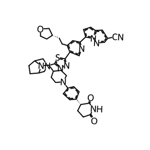 N#Cc1cnn2c(-c3cc(CC[C@@H]4CCOC4)c(-c4nnc(N5CC6CCC(C5)N6CC5CCN(c6ccc([C@H]7CCC(=O)NC7=O)cc6)CC5)s4)cn3)ccc2c1